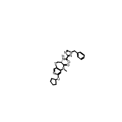 CN1C(=O)[C@@H](NC(=O)c2ncn(Cc3ccccc3)n2)CSc2cnc(OC3CCCC3)cc21